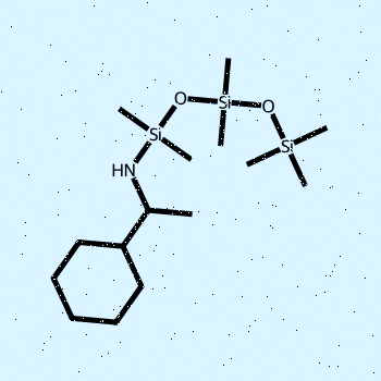 CC(N[Si](C)(C)O[Si](C)(C)O[Si](C)(C)C)C1CCCCC1